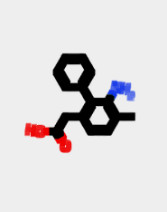 Cc1ccc(CC(=O)O)c(-c2ccccc2)c1N